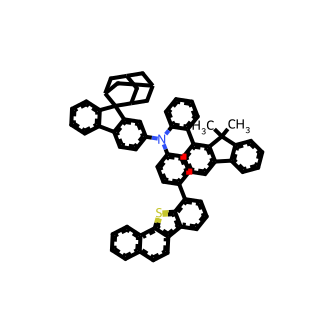 CC1(C)c2ccccc2-c2cccc(-c3ccccc3N(c3ccc(-c4cccc5c4sc4c6ccccc6ccc54)cc3)c3ccc4c(c3)C3(c5ccccc5-4)C4CC5CC(C4)CC3C5)c21